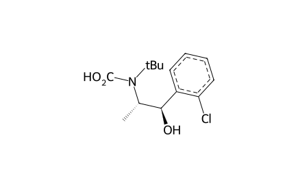 C[C@@H]([C@H](O)c1ccccc1Cl)N(C(=O)O)C(C)(C)C